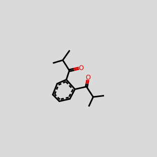 CC(C)C(=O)c1ccccc1C(=O)C(C)C